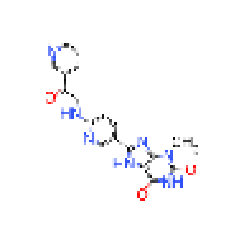 Cn1c(=O)[nH]c(=O)c2[nH]c(-c3ccc(NCC(=O)c4cccnc4)nc3)nc21